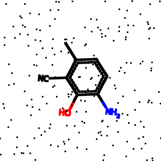 Cc1ccc(N)c(O)c1C#N